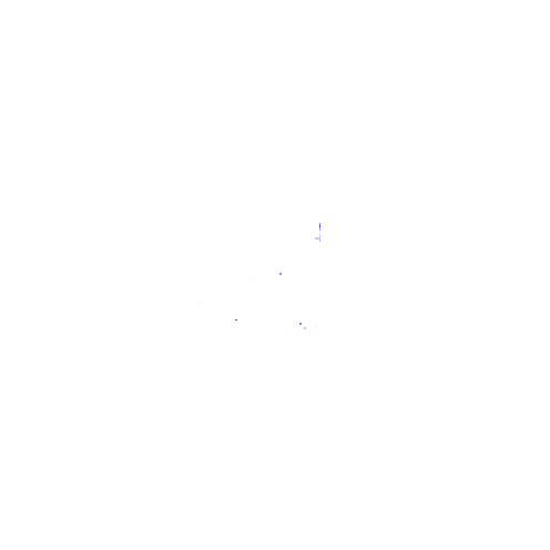 CNc1ccc(Cl)cc1C(=N)Nc1ccc(C(=O)O)cc1